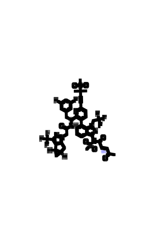 CC(=O)/C=C/C(=O)N(c1nn(CC(F)(F)F)c2c(-c3ccc(C#CC(C)(C)S(C)(=O)=O)nc3[C@H](Cc3cc(F)cc(F)c3)NC(=O)Cn3nc(C(F)(F)F)c4c3C[C@@H]3C[C@H]43)cccc12)S(C)(=O)=O